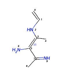 C=CN/C(C)=C(\N)C(C)=N